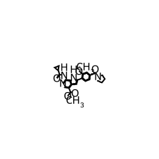 COC(=O)c1cnc(NC(=O)C2CC2)c2[nH]c(-c3ccc(C(=O)N4CCCC4)cc3OC)cc12